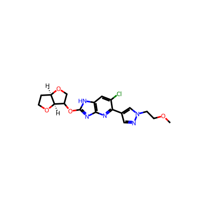 COCCn1cc(-c2nc3nc(OC4CO[C@@H]5CCO[C@H]45)[nH]c3cc2Cl)cn1